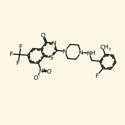 Cc1cccc(F)c1CNN1CCN(c2nc(=O)c3cc(C(F)(F)F)cc([N+](=O)[O-])c3s2)CC1